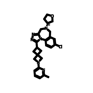 Cc1cccc(N2CC3(CC(c4nnc5n4-c4ccc(Cl)cc4CN([C@@H]4CCOC4)C5)C3)C2)n1